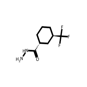 NNC(=O)[C@@H]1CCC[C@@H](C(F)(F)F)C1